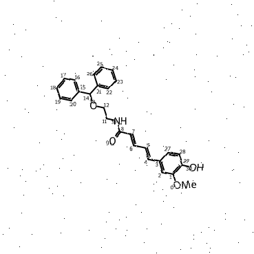 COc1cc(C=CC=CC(=O)NCCOC(c2ccccc2)c2ccccc2)ccc1O